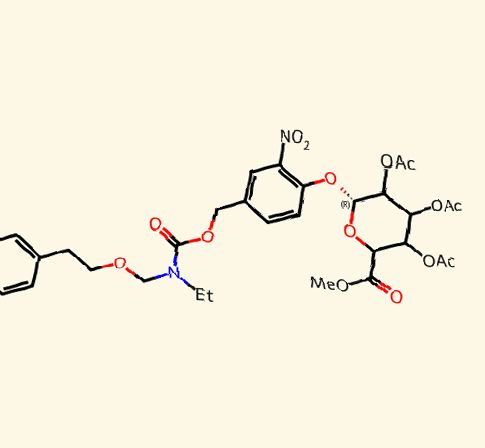 CCN(COCCc1ccccc1)C(=O)OCc1ccc(O[C@H]2OC(C(=O)OC)C(OC(C)=O)C(OC(C)=O)C2OC(C)=O)c([N+](=O)[O-])c1